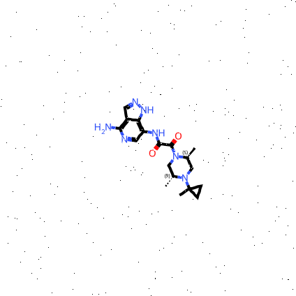 C[C@@H]1CN(C(=O)C(=O)Nc2cnc(N)c3cn[nH]c23)[C@@H](C)CN1C1(C)CC1